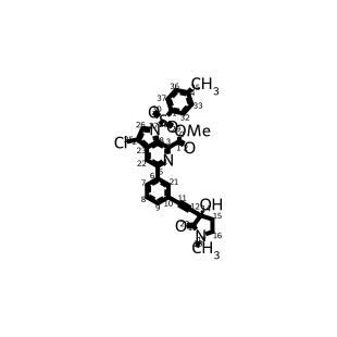 COC(=O)c1nc(-c2cccc(C#C[C@]3(O)CCN(C)C3=O)c2)cc2c(Cl)cn(S(=O)(=O)c3ccc(C)cc3)c12